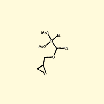 CCC(OCC1CO1)[Si](CC)(OC)OC